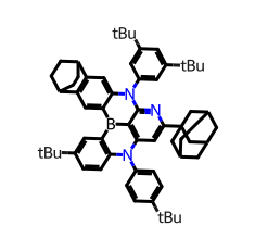 CC(C)(C)c1ccc(N2c3ccc(C(C)(C)C)cc3B3c4cc5c(cc4N(c4cc(C(C)(C)C)cc(C(C)(C)C)c4)c4nc(C67CC8CC(CC(C8)C6)C7)cc2c43)C2CCC5CC2)cc1